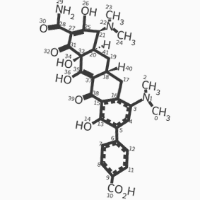 CN(C)c1cc(-c2ccc(C(=O)O)cc2)c(O)c2c1C[C@H]1C[C@@H]3[C@H](N(C)C)C(O)=C(C(N)=O)C(=O)[C@@]3(O)C(O)=C1C2=O